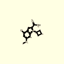 COc1cc(F)c2cc(C(=O)O)n(C3CCC3)c2c1